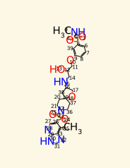 CNS(=O)(=O)c1cccc(OCC(O)CNC2COC3(CCN(S(=O)(=O)c4cnc5[nH]cnc5c4C)CC3)C2)c1